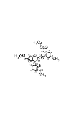 CCOC(=O)Cc1ccc(C)cc1OCc1cc(-c2cccc(CN)c2F)c2oc(COC)cc2c1